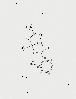 CC(CC(C)(C)OC(N)=O)c1ccccc1Br